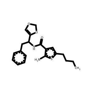 CCCCc1cc(C(=O)NC(Cc2ccccc2)C2=COCO2)c(N)s1